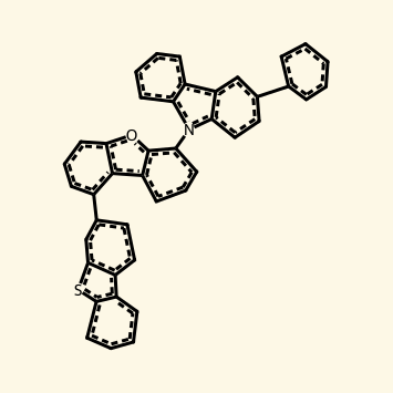 c1ccc(-c2ccc3c(c2)c2ccccc2n3-c2cccc3c2oc2cccc(-c4ccc5c(c4)sc4ccccc45)c23)cc1